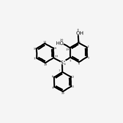 Oc1cccc([S+](c2ccccc2)c2ccccc2)c1O